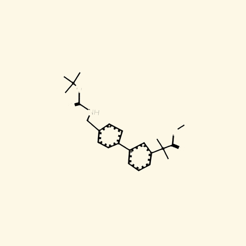 COC(=O)C(C)(C)c1cccc(-c2ccc(CNC(=O)OC(C)(C)C)cc2)c1